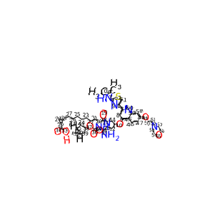 CC(C)Nc1nc(-c2cc(OC3C[C@@H](C(N)=O)N(C(=O)[C@H](CCCCCCC[C@@H]4C[C@@H]4C(=O)O)NC(=O)O[C@@H]4C[C@@H]5C[C@@H]5C4)C3)c3ccc(OCCN4CCOCC4)cc3n2)cs1